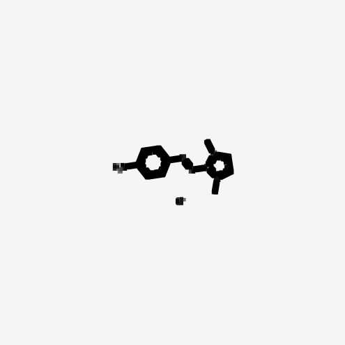 Cn1ccn(C)[c+]1N=Nc1ccc(N)cc1.[Cl-]